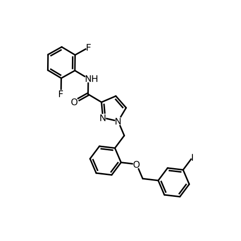 O=C(Nc1c(F)cccc1F)c1ccn(Cc2ccccc2OCc2cccc(I)c2)n1